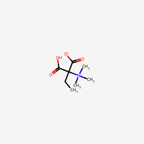 CCC(C(=O)[O-])(C(=O)O)[N+](C)(C)C